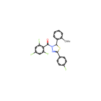 COc1ccccc1C1SC(c2ccc(F)cc2)=NN1C(=O)c1c(F)cc(F)cc1F